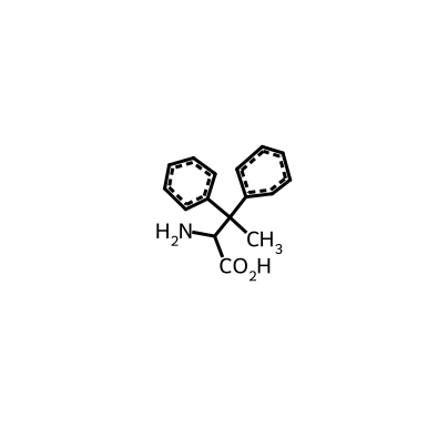 CC(c1ccccc1)(c1ccccc1)C(N)C(=O)O